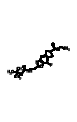 CCOC(=O)C1Cc2cc3nc(CCNC(=O)OC(C)(C)C)oc3c(F)c2C1